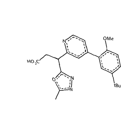 COc1ccc(C(C)(C)C)cc1-c1ccnc(C(CC(=O)O)c2nnc(C)o2)c1